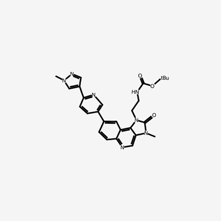 Cn1cc(-c2ccc(-c3ccc4ncc5c(c4c3)n(CCNC(=O)OC(C)(C)C)c(=O)n5C)cn2)cn1